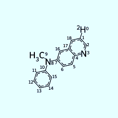 [2H]c1cnc2ccc(N(C)c3ccccc3)cc2c1